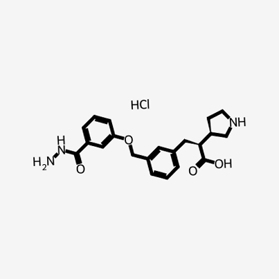 Cl.NNC(=O)c1cccc(OCc2cccc(C[C@H](C(=O)O)[C@H]3CCNC3)c2)c1